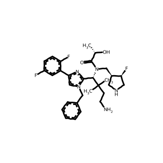 C[C@H](O)C(=O)N(C[C@@H]1CNC[C@@H]1F)[C@@H](c1nc(-c2cc(F)ccc2F)cn1Cc1ccccc1)C(C)(C)CCN